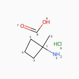 CC1(N)CCC1.Cl.O=CO